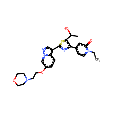 CC(O)c1sc(-c2cnn3cc(OCCN4CCOCC4)ccc23)nc1-c1ccn(CC(F)(F)F)c(=O)c1